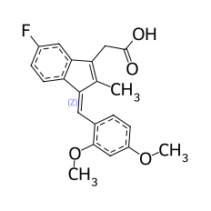 COc1ccc(/C=C2\C(C)=C(CC(=O)O)c3cc(F)ccc32)c(OC)c1